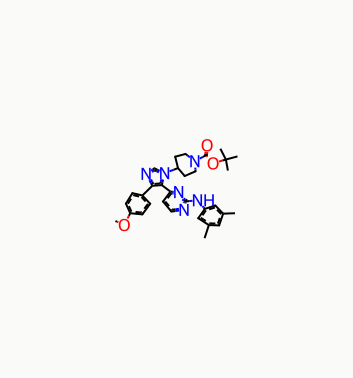 COc1ccc(-c2ncn(C3CCN(C(=O)OC(C)(C)C)CC3)c2-c2ccnc(Nc3cc(C)cc(C)c3)n2)cc1